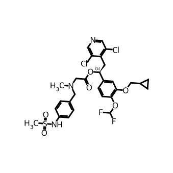 CN(CC(=O)O[C@@H](Cc1c(Cl)cncc1Cl)c1ccc(OC(F)F)c(OCC2CC2)c1)Cc1ccc(NS(C)(=O)=O)cc1